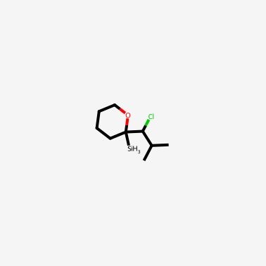 CC(C)C(Cl)C1([SiH3])CCCCO1